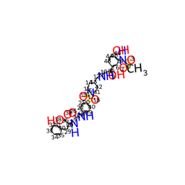 CS(=O)(=O)Nc1cc([C@@H](O)CNCC2CCN(S(=O)(=O)c3ccc(NC(=O)N[C@@H](Cc4ccccc4)C(=O)O)cc3)CC2)ccc1O